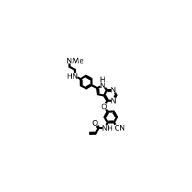 C=CC(=O)Nc1cc(Oc2ncnc3[nH]c(-c4ccc(NCCNC)cc4)cc23)ccc1C#N